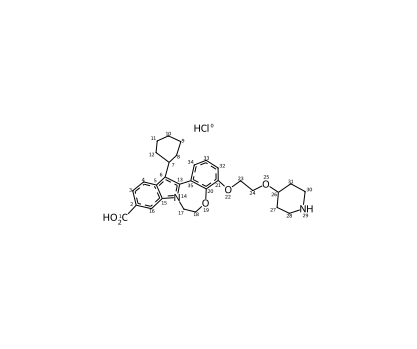 Cl.O=C(O)c1ccc2c(C3CCCCC3)c3n(c2c1)CCOc1c(OCCOC2CCNCC2)cccc1-3